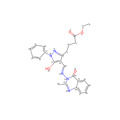 CCOC(=O)CCCc1nn(-c2ccccc2)c(O)c1C=Nn1c(C)nc2ccccc2c1=O